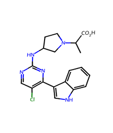 CC(C(=O)O)N1CCC(Nc2ncc(Cl)c(-c3c[nH]c4ccccc34)n2)C1